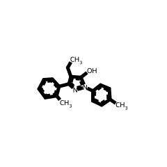 CCc1c(-c2ccccc2C)nn(-c2ccc(C)cc2)c1O